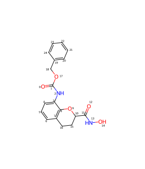 O=C(Nc1cccc2c1OC(C(=O)NO)CC2)OCc1ccccc1